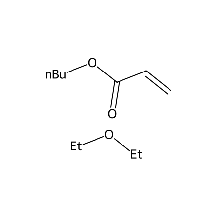 C=CC(=O)OCCCC.CCOCC